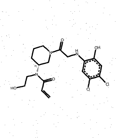 C=CC(=O)N(CCO)[C@@H]1CCCN(C(=O)CNc2cc(Cl)c(Cl)cc2O)C1